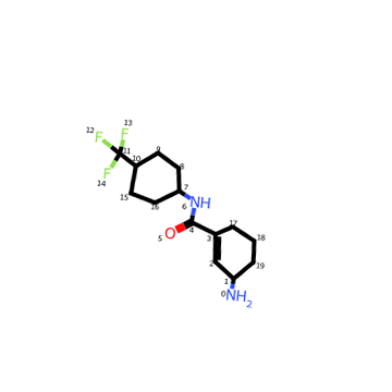 NC1C=C(C(=O)NC2CCC(C(F)(F)F)CC2)CCC1